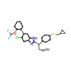 CC(=O)NCC(c1ccc(SCC2CC2)cc1)c1nc2cc(Cl)c(-c3ccccc3OC(F)F)cc2[nH]1